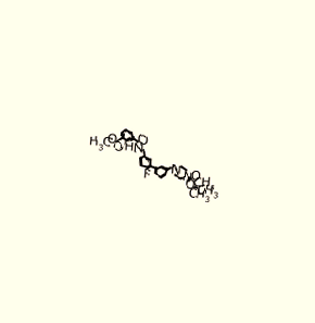 COC(=O)c1cccc(C(=O)NCc2ccc(F)c(-c3cccc(CN4CCN(C(=O)OC(C)(C)C)CC4)c3)c2)c1